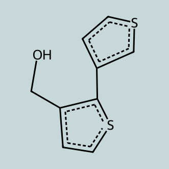 OCc1ccsc1-c1ccsc1